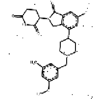 COc1cc(C)cc(CN2CCC(c3cc(F)cc4c3CN(C3CCC(=O)NC3=O)C4=O)CC2)c1